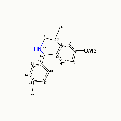 COc1ccc2c(c1)C(C)CNC2c1ccc(C)cc1